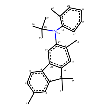 Cc1ccc2c(c1)C(C)(C)c1cc(C)c(N(c3ccccc3C)C(C)(C)C)cc1-2